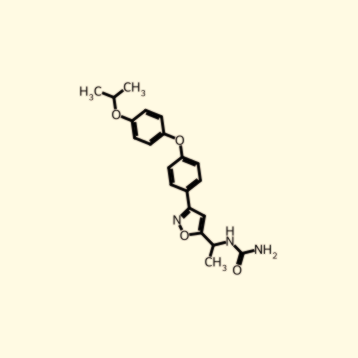 CC(C)Oc1ccc(Oc2ccc(-c3cc(C(C)NC(N)=O)on3)cc2)cc1